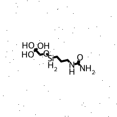 NC(=O)NCCC[SiH2]OCC(O)(O)O